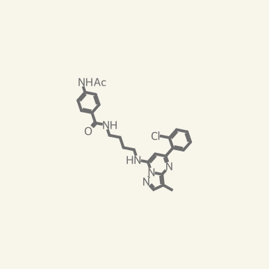 CC(=O)Nc1ccc(C(=O)NCCCCNc2cc(-c3ccccc3Cl)nc3c(C)cnn23)cc1